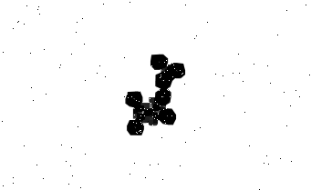 O=c1c2ccccc2n2c3ccc(-c4ccc5c(c4)c4ccccc4n5-c4ccccc4)cc3nc2n1-c1nc(-c2ccccc2)nc(-c2ccccc2)n1